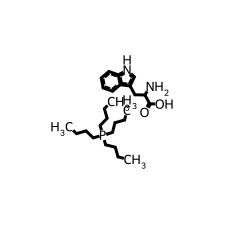 CCCC[P](CCCC)(CCCC)CCCC.NC(Cc1c[nH]c2ccccc12)C(=O)O